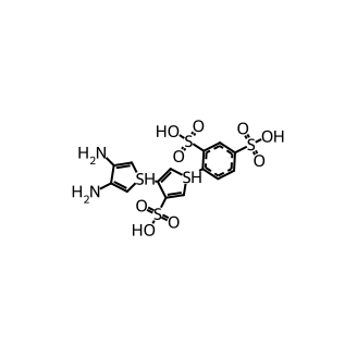 NC1=C[SH](C2=C[SH](c3ccc(S(=O)(=O)O)cc3S(=O)(=O)O)C=C2S(=O)(=O)O)C=C1N